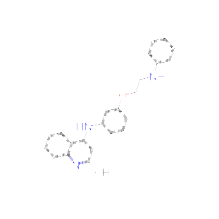 Cc1cc(Nc2cccc(OCCNc3ccccc3)c2)c2ccccc2n1